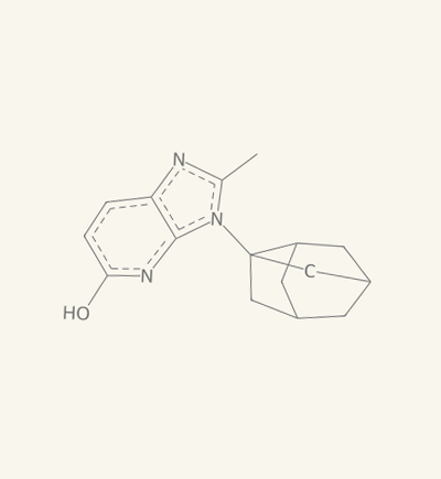 Cc1nc2ccc(O)nc2n1C12CC3CC(CC1C3)C2